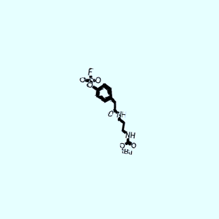 CC(C)(C)OC(=O)NCCCNC(=O)Cc1ccc(OS(=O)(=O)F)cc1